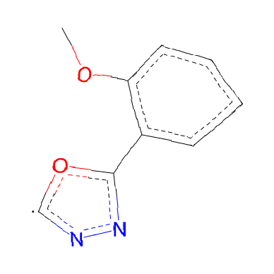 COc1ccccc1-c1nn[c]o1